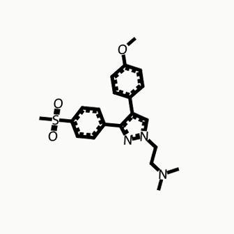 COc1ccc(-c2cn(CCN(C)C)nc2-c2ccc(S(C)(=O)=O)cc2)cc1